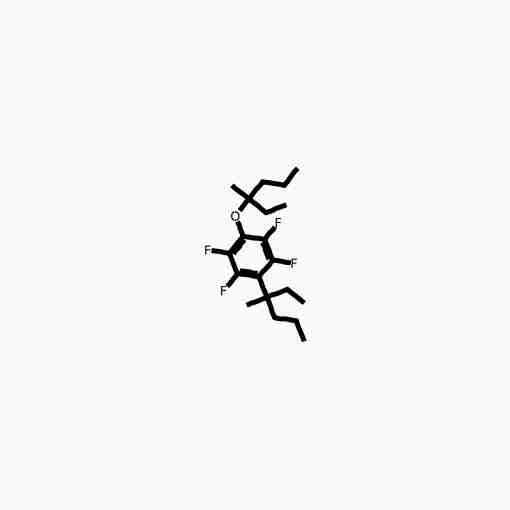 CCCC(C)(CC)Oc1c(F)c(F)c(C(C)(CC)CCC)c(F)c1F